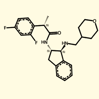 C[C@H](C(=O)N[C@H]1Cc2ccccc2[C@@H]1NCC1CCOCC1)c1ccc(F)cc1F